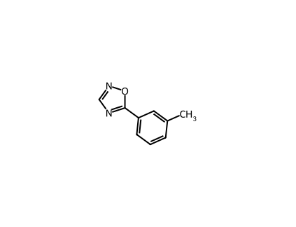 Cc1cccc(-c2ncno2)c1